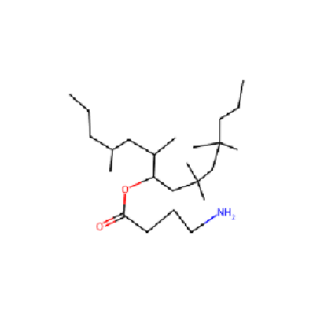 CCCC(C)CC(C)C(CC(C)(C)CC(C)(C)CCC)OC(=O)CCCN